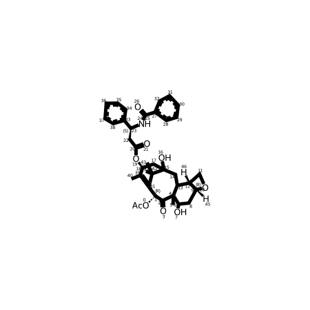 CC(=O)O[C@H]1C(=O)C2(C)C(O)C[C@H]3OC[C@H]3C2CC2(O)C[C@H](OC(=O)C[C@H](NC(=O)c3ccccc3)c3ccccc3)C(C)=C1C2(C)C